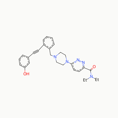 CCN(CC)C(=O)c1ccc(N2CCN(Cc3ccccc3C#Cc3cccc(O)c3)CC2)nn1